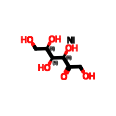 O=C(CO)[C@H](O)[C@@H](O)[C@H](O)CO.[Ni]